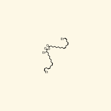 CC/C=C\C/C=C\C/C=C\CCCCCCCC(=O)OC(=O)C(CC)CCCCCC/C=C\C/C=C\C/C=C\CC